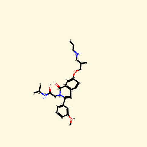 CCCNCC(C)COc1ccc2cc(-c3cccc(OC)c3)n(CC(=O)NC(C)C)c(=O)c2c1